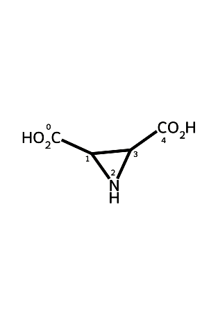 O=C(O)C1NC1C(=O)O